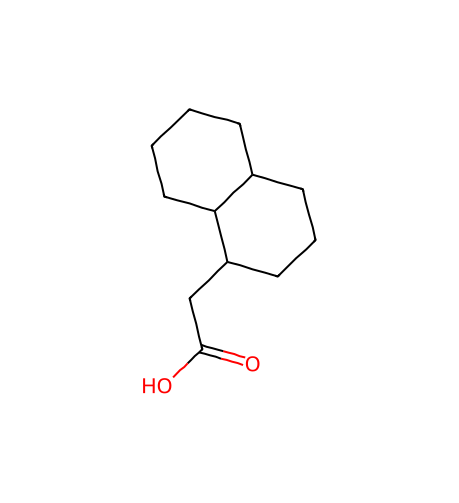 O=C(O)CC1CCCC2CCCCC21